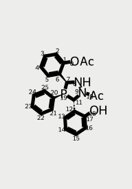 CC(=O)Oc1ccccc1[C@H]1NN(C(C)=O)[C@H](c2ccccc2O)[P@@]1c1ccccc1